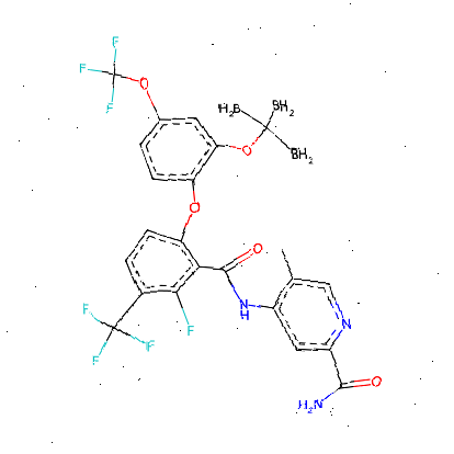 BC(B)(B)Oc1cc(OC(F)(F)F)ccc1Oc1ccc(C(F)(F)F)c(F)c1C(=O)Nc1cc(C(N)=O)ncc1C